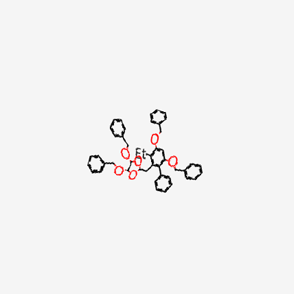 CCc1c(OCc2ccccc2)cc(OCc2ccccc2)c(-c2ccccc2)c1CC1O[C@H](OCc2ccccc2)[C@@H](OCc2ccccc2)O1